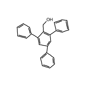 OCc1c(-c2ccccc2)cc(-c2ccccc2)cc1-c1ccccc1